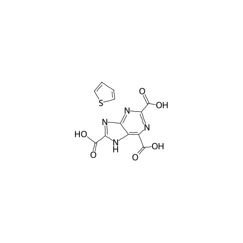 O=C(O)c1nc(C(=O)O)c2[nH]c(C(=O)O)nc2n1.c1ccsc1